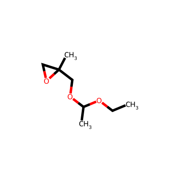 CCOC(C)OCC1(C)CO1